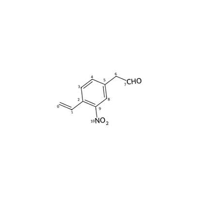 C=Cc1ccc(CC=O)cc1[N+](=O)[O-]